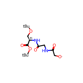 CC(C)(C)OC[C@@H](NC(=O)CNC(=O)C[O])C(=O)OC(C)(C)C